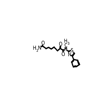 CN(C(=O)C(=O)CCCCCC(N)=O)c1nc(-c2ccccc2)cs1